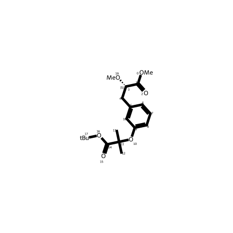 COC(=O)[C@H](Cc1cccc(OC(C)(C)C(=O)OC(C)(C)C)c1)OC